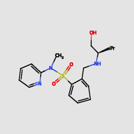 CC(C)[C@H](CO)NCc1ccccc1S(=O)(=O)N(C)c1ccccn1